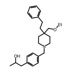 CCOCC1(CCc2ccccc2)CCN(Cc2ccc(CC(C)O)cc2)CC1